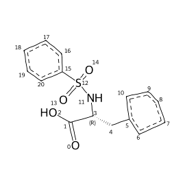 O=C(O)[C@@H](Cc1ccccc1)NS(=O)(=O)c1ccccc1